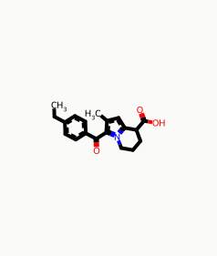 CCc1ccc(C(=O)c2c(C)cc3n2CCCC3C(=O)O)cc1